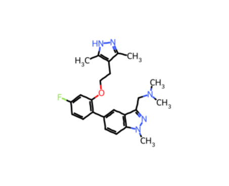 Cc1n[nH]c(C)c1CCOc1cc(F)ccc1-c1ccc2c(c1)c(CN(C)C)nn2C